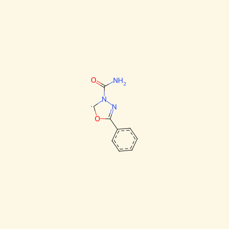 NC(=O)N1[CH]OC(c2ccccc2)=N1